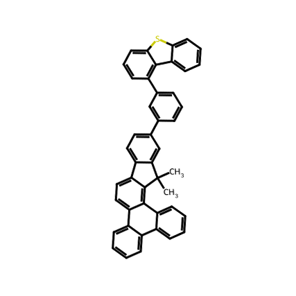 CC1(C)c2cc(-c3cccc(-c4cccc5sc6ccccc6c45)c3)ccc2-c2ccc3c4ccccc4c4ccccc4c3c21